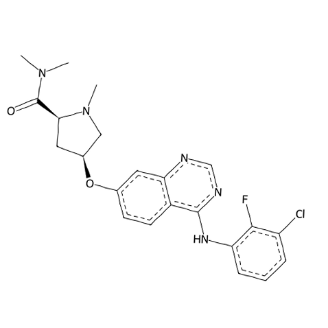 CN(C)C(=O)[C@@H]1C[C@H](Oc2ccc3c(Nc4cccc(Cl)c4F)ncnc3c2)CN1C